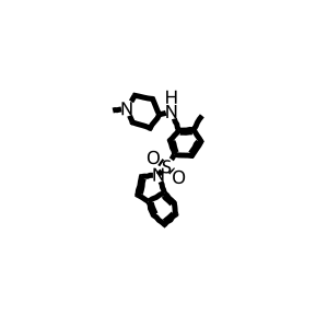 Cc1ccc(S(=O)(=O)n2ccc3ccccc32)cc1NC1CCN(C)CC1